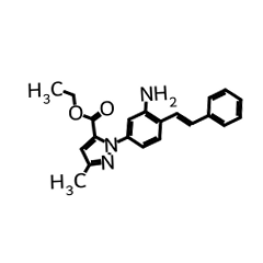 CCOC(=O)c1cc(C)nn1-c1ccc(C=Cc2ccccc2)c(N)c1